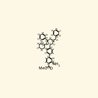 COC(=O)c1ccc(-c2ccc(CCN(Cc3ccccc3)C[C@@H](OC3CCCCO3)c3ccccc3)cc2)cc1N